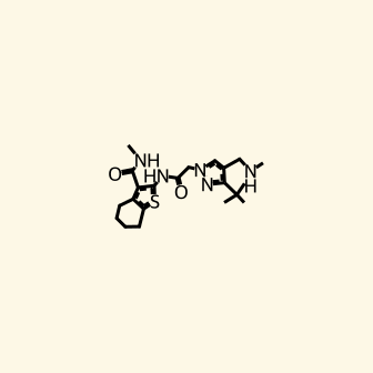 CNCc1cn(CC(=O)Nc2sc3c(c2C(=O)NC)CCCC3)nc1C(C)(C)C